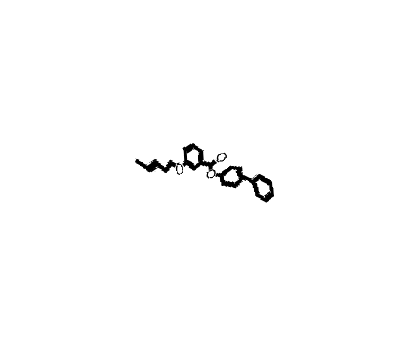 CCCCCOc1cccc(C(=O)Oc2ccc(-c3ccccc3)cc2)c1